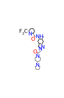 Cc1cc2nn(CC(=O)N3CCC(N4CCCC4)CC3)cc2cc1NC(=O)c1cccc(C(F)(F)F)n1